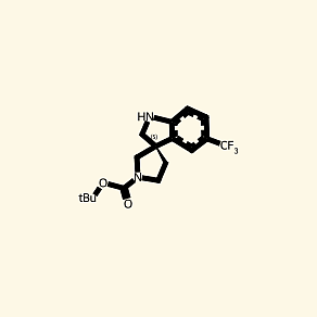 CC(C)(C)OC(=O)N1CC[C@]2(CNc3ccc(C(F)(F)F)cc32)C1